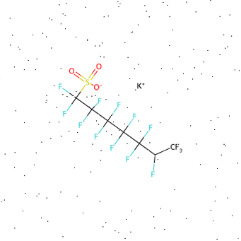 O=S(=O)([O-])C(F)(F)C(F)(F)C(F)(F)C(F)(F)C(F)(F)C(F)C(F)(F)F.[K+]